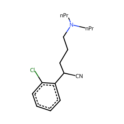 CCCN(CCC)CCCC(C#N)c1ccccc1Cl